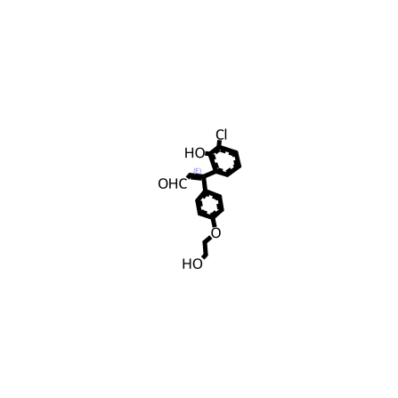 O=C/C=C(\c1ccc(OCCO)cc1)c1cccc(Cl)c1O